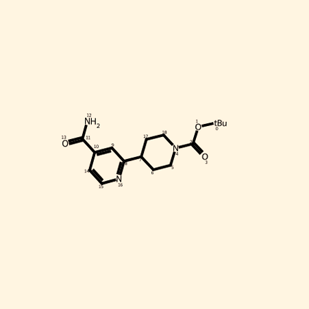 CC(C)(C)OC(=O)N1CCC(c2cc(C(N)=O)ccn2)CC1